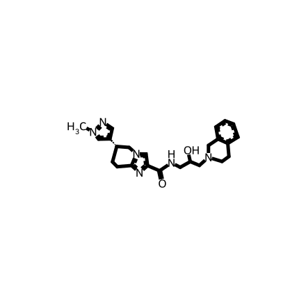 Cn1cc([C@H]2CCc3nc(C(=O)NCC(O)CN4CCc5ccccc5C4)cn3C2)cn1